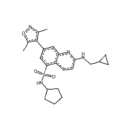 Cc1noc(C)c1-c1cc(S(=O)(=O)NC2CCCC2)c2ccc(NCC3CC3)nc2c1